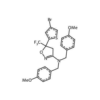 COc1ccc(CN(Cc2ccc(OC)cc2)C2=NOC(c3cc(Br)cs3)(C(F)(F)F)C2)cc1